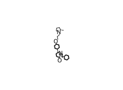 C[C@@H]1CCCN1CCCOc1ccc(-c2ccc(=O)n(-c3ccccc3)n2)cc1